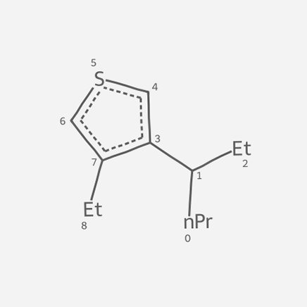 CCCC(CC)c1cscc1CC